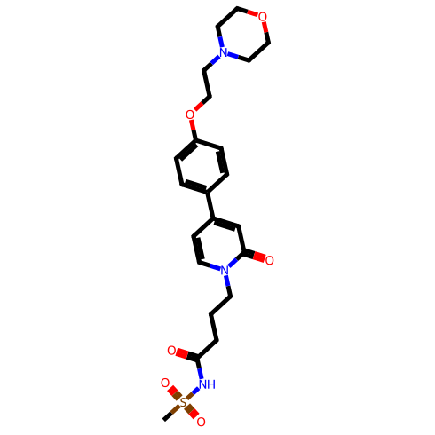 CS(=O)(=O)NC(=O)CCCn1ccc(-c2ccc(OCCN3CCOCC3)cc2)cc1=O